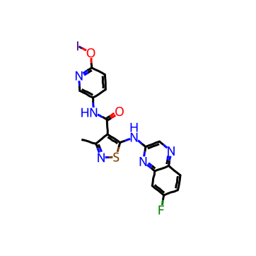 Cc1nsc(Nc2cnc3ccc(F)cc3n2)c1C(=O)Nc1ccc(OI)nc1